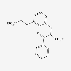 CCOC(=O)CCc1cccc(CC(C(=O)OCC)C(=O)c2ccccc2)c1